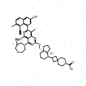 C#Cc1c(F)ccc2cc(O)cc(-c3nc(OC)c4c(N5CCOC[C@@](C)(O)C5)nc(OC[C@]56CCC[C@H]5N(C5CC7(CCN(C(=O)C(C)C)CC7)C5)CCC6)nc4c3F)c12